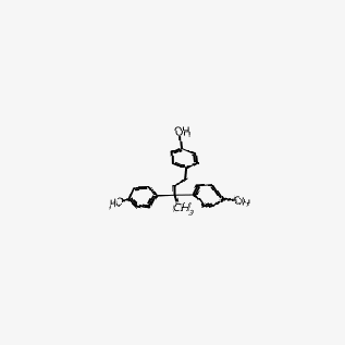 CC(CCc1ccc(O)cc1)(c1ccc(O)cc1)c1ccc(O)cc1